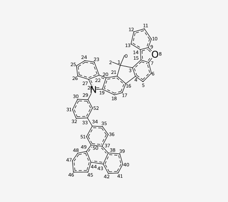 CC1(C)c2c(ccc3oc4ccccc4c23)-c2ccc3c(c21)c1ccccc1n3-c1cccc(-c2ccc3c4ccccc4c4ccccc4c3c2)c1